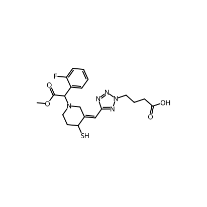 COC(=O)C(c1ccccc1F)N1CCC(S)C(=Cc2nnn(CCCC(=O)O)n2)C1